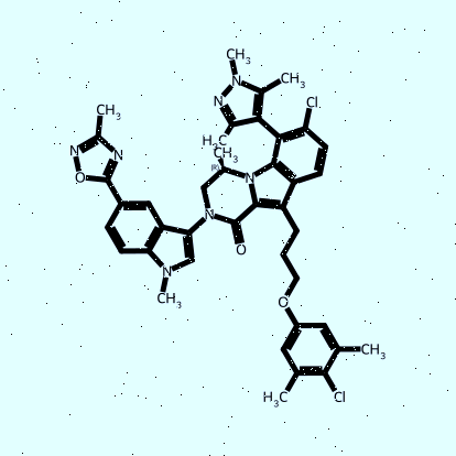 Cc1noc(-c2ccc3c(c2)c(N2C[C@@H](C)n4c(c(CCCOc5cc(C)c(Cl)c(C)c5)c5ccc(Cl)c(-c6c(C)nn(C)c6C)c54)C2=O)cn3C)n1